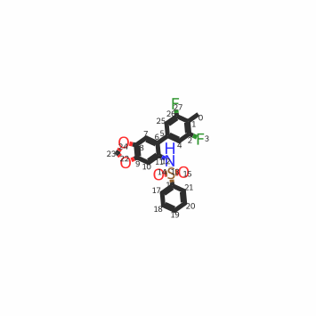 Cc1c(F)cc(-c2cc3c(cc2NS(=O)(=O)c2ccccc2)OCO3)cc1F